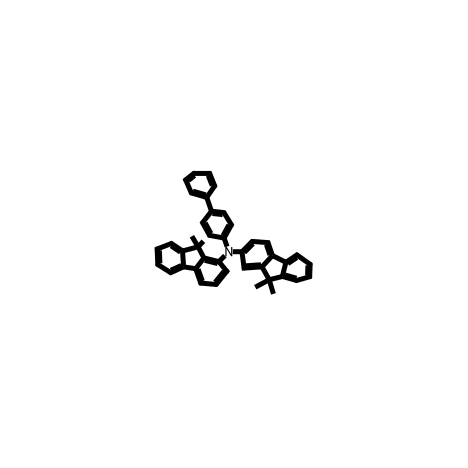 CC1(C)c2ccccc2-c2ccc(N(c3ccc(-c4ccccc4)cc3)c3cccc4c3C(C)(C)c3ccccc3-4)cc21